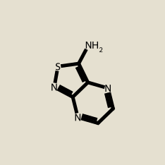 Nc1snc2nccnc12